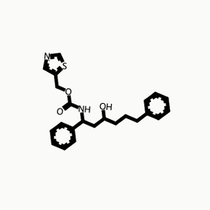 O=C(NC(CC(O)CCCc1ccccc1)c1ccccc1)OCc1cncs1